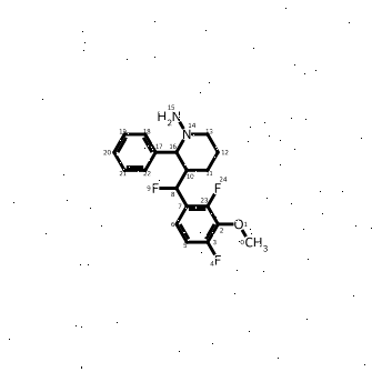 COc1c(F)ccc(C(F)C2CCCN(N)C2c2ccccc2)c1F